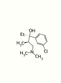 CC[C@](O)(c1cccc(Cl)c1)[C@H](C)CN(C)C